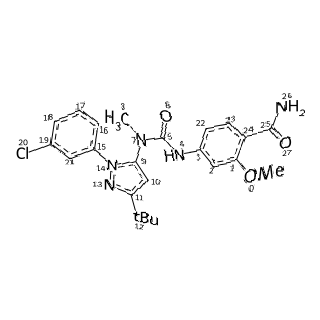 COc1cc(NC(=O)N(C)c2cc(C(C)(C)C)nn2-c2cccc(Cl)c2)ccc1C(N)=O